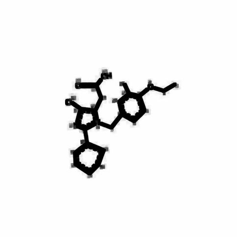 CCOc1ccc(Cn2c(-c3ccccc3)nc(Cl)c2CC(=O)O)cc1C